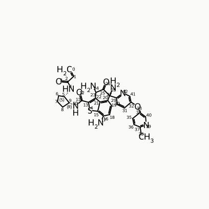 C=CC(=O)N[C@H]1CCC[C@H]1NC(=O)c1sc2c(N)ccc3c2c1C(N)C(=O)C3(N)c1ccc(Oc2ccc(C)nc2)cn1